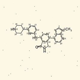 Cn1ccc2c(-c3ncc(Nc4cccc(C5CCNCC5)n4)c4c3CNC4=O)ccnc21